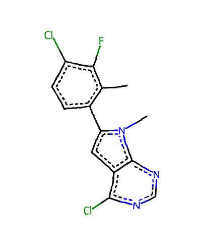 Cc1c(-c2cc3c(Cl)ncnc3n2C)ccc(Cl)c1F